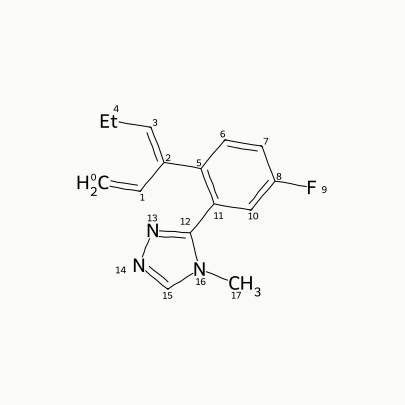 C=C/C(=C\CC)c1ccc(F)cc1-c1nncn1C